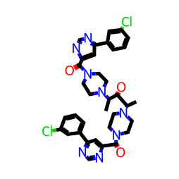 CC(C(=O)C(C)N1CCN(C(=O)c2cc(-c3cccc(Cl)c3)ncn2)CC1)N1CCN(C(=O)c2cc(-c3cccc(Cl)c3)ncn2)CC1